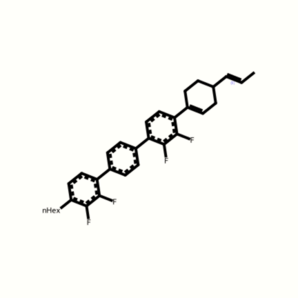 C/C=C/C1CC=C(c2ccc(-c3ccc(-c4ccc(CCCCCC)c(F)c4F)cc3)c(F)c2F)CC1